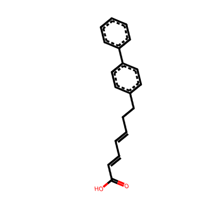 O=C(O)/C=C/C=C/CCc1ccc(-c2ccccc2)cc1